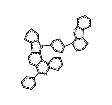 c1ccc(-c2nc3ccccc3c3c2ccc2c4ccccc4n(-c4ccc(-c5cccc6c5oc5ccccc56)cc4)c23)cc1